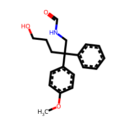 COc1ccc(C(CCCO)(CNC=O)c2ccccc2)cc1